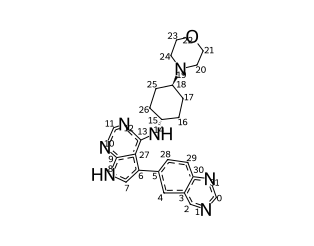 c1ncc2cc(-c3c[nH]c4ncnc(N[C@H]5CC[C@H](N6CCOCC6)CC5)c34)ccc2n1